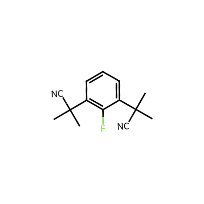 CC(C)(C#N)c1cccc(C(C)(C)C#N)c1F